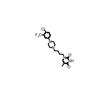 Cc1cn(CCCCN2CCN(c3ccc(Cl)c(C(F)(F)F)c3)CC2)c(=O)[nH]c1=O